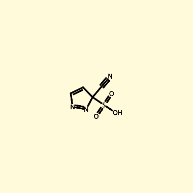 N#CC1(S(=O)(=O)O)C=CN=N1